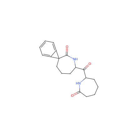 O=C1CCCCC(C(=O)C2CCCC3(C(=O)N2)c2ccccc23)N1